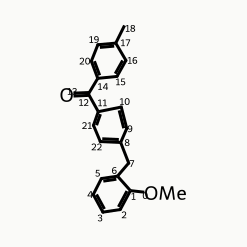 COc1ccccc1Cc1ccc(C(=O)c2ccc(C)cc2)cc1